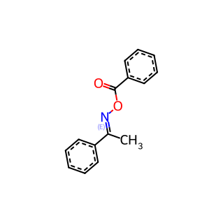 C/C(=N\OC(=O)c1ccccc1)c1ccccc1